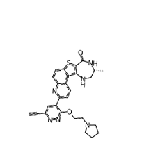 C#Cc1cc(-c2ccc3c(ccc4sc5c(c43)NC[C@@H](C)NC5=O)n2)c(OCCN2CCCC2)nn1